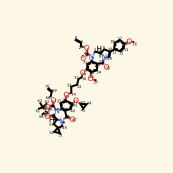 C=CCOC(=O)N1C[C@@H]2CC(c3ccc(OC)cc3)=CN2C(=O)c2cc(OC)c(OCCCCCOc3cc4c(cc3OC3CC3)C(=O)N3CC5(CC5)C[C@H]3C(O[Si](C)(C)C(C)(C)C)N4C(=O)OCC=C)cc21